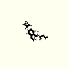 CCCC(=O)Nc1nccc2cc(OC3COC3)ccc12